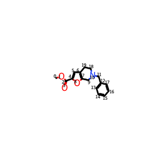 COC(=O)c1cc2c(o1)CN(Cc1ccccc1)CC2